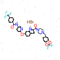 Br.CN(C(=O)c1ccc(C(F)(F)F)cc1)c1ccc(Oc2ccc3cc(C(=O)N4CCN(Cc5ccc6c(c5)OC(F)(F)O6)CC4)n(C)c3c2)nc1